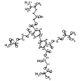 C=C(C)C(=C)CCC(O)COC(=O)c1ccc(-c2ccc(C(=O)OCC(O)COC(=O)C(=C)C)c(C(=O)OCCOC(=O)C(=C)C)c2)cc1C(=O)OCCOC(=O)C(=C)C